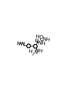 [N-]=[N+]=NCc1ccc(-c2cc(NN)cc(C(=O)NC(C=N)CO)c2)cc1